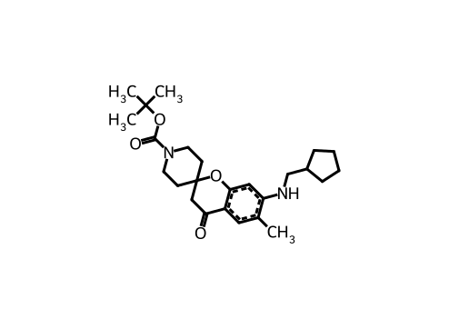 Cc1cc2c(cc1NCC1CCCC1)OC1(CCN(C(=O)OC(C)(C)C)CC1)CC2=O